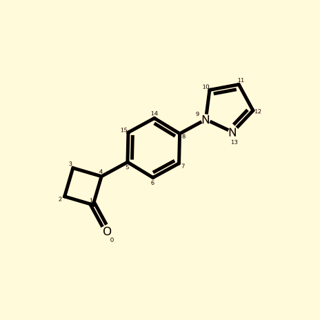 O=C1CCC1c1ccc(-n2cccn2)cc1